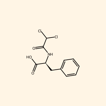 O=C(N[C@@H](Cc1ccccc1)C(=O)O)C(Cl)Cl